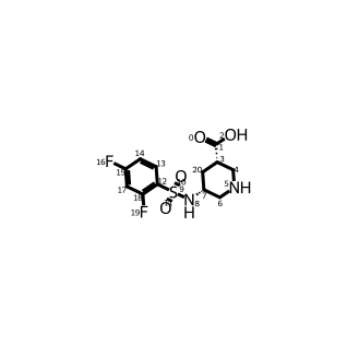 O=C(O)[C@@H]1CNC[C@H](NS(=O)(=O)c2ccc(F)cc2F)C1